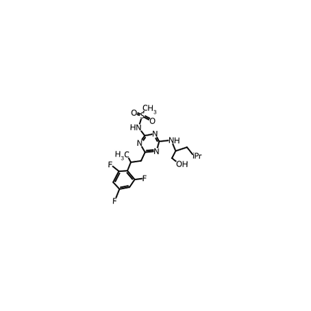 CC(C)CC(CO)Nc1nc(CC(C)c2c(F)cc(F)cc2F)nc(NS(C)(=O)=O)n1